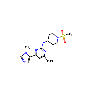 Cn1cncc1-c1cc(C=O)nc(NC2CCN(S(C)(=O)=O)CC2)n1